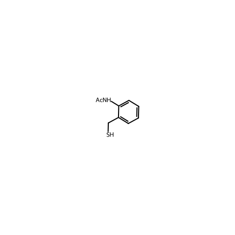 CC(=O)Nc1ccccc1CS